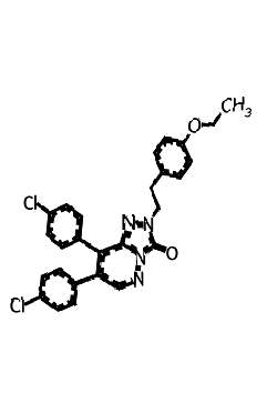 CCOc1ccc(CCn2nc3c(-c4ccc(Cl)cc4)c(-c4ccc(Cl)cc4)cnn3c2=O)cc1